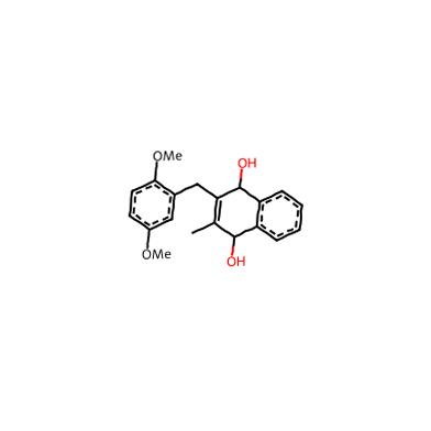 COc1ccc(OC)c(CC2=C(C)C(O)c3ccccc3C2O)c1